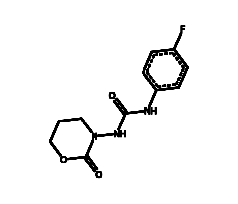 O=C(Nc1ccc(F)cc1)NN1CCCOC1=O